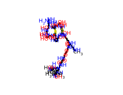 CNCCCC[C@H](NC(=O)CCCCCN[C@@H](O)[C@@H]1CSCC(=O)N[C@@H](CC(O)O)C(=O)N[C@H]2CSSC[C@H](N[C@H](O)[C@@H](CC(O)O)N[C@@H](O)CN[C@H](O)[C@@H](CCCNC(N)N)N[C@H]2O)[C@H](O)N[C@H](Cc2ccccc2)[C@@H](O)N1)C(=O)NCCOCCOCCNC(=O)CCC(=O)NCCN(CCNC(C)(C)/C(C)=N\O)CCNC(C)(C)/C(C)=N\O